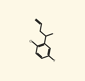 [CH2]C(CC=C)c1cc(F)ccc1Cl